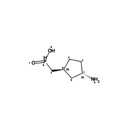 N[C@H]1CC[C@H](C[PH](=O)O)C1